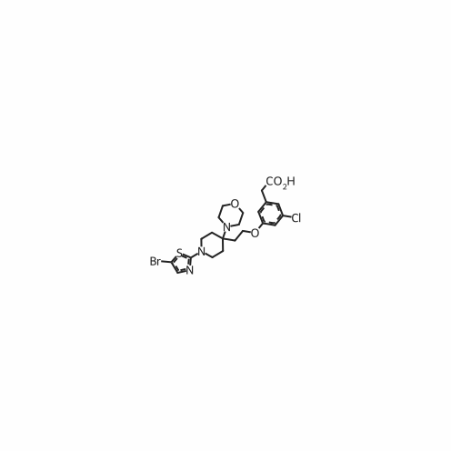 O=C(O)Cc1cc(Cl)cc(OCCC2(N3CCOCC3)CCN(c3ncc(Br)s3)CC2)c1